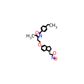 CCc1ccc(-c2nc(CCOc3ccc4c(c3)CC[C@H]4CC(=O)N=O)c(C)o2)cc1